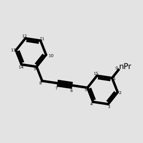 CCCc1cccc(C#CCc2ccccc2)c1